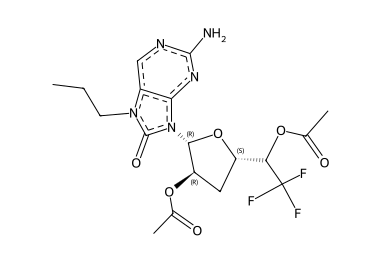 CCCn1c(=O)n([C@@H]2O[C@H](C(OC(C)=O)C(F)(F)F)C[C@H]2OC(C)=O)c2nc(N)ncc21